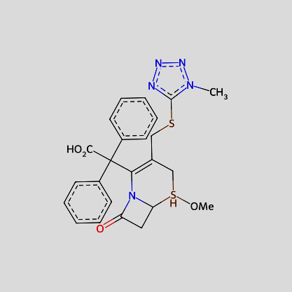 CO[SH]1CC(CSc2nnnn2C)=C(C(C(=O)O)(c2ccccc2)c2ccccc2)N2C(=O)CC21